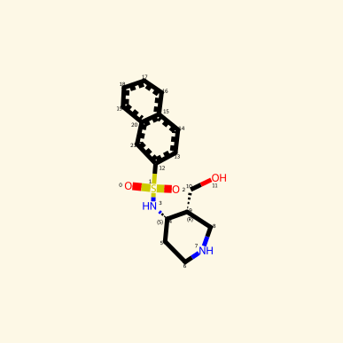 O=S(=O)(N[C@H]1CCNC[C@H]1CO)c1ccc2ccccc2c1